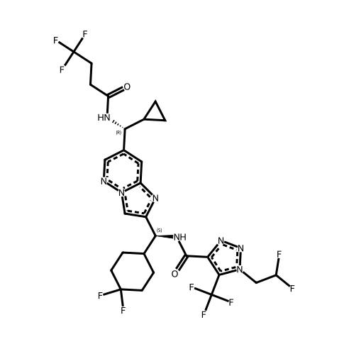 O=C(CCC(F)(F)F)N[C@@H](c1cnn2cc([C@@H](NC(=O)c3nnn(CC(F)F)c3C(F)(F)F)C3CCC(F)(F)CC3)nc2c1)C1CC1